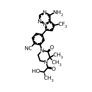 C[C@@H](O)C(=O)N1CCN(c2cc(-c3cc(C(F)(F)F)c4c(N)ncnn34)ccc2C#N)C(=O)C1(C)C